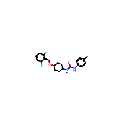 Cc1ccc(NC(=O)NC2CCC(OCc3c(F)cccc3F)CC2)cc1